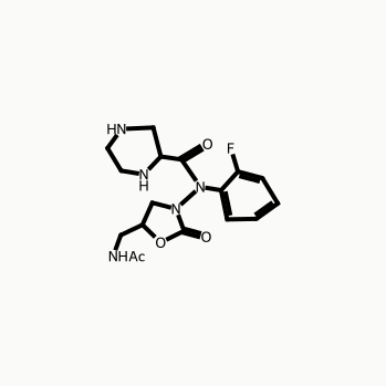 CC(=O)NCC1CN(N(C(=O)C2CNCCN2)c2ccccc2F)C(=O)O1